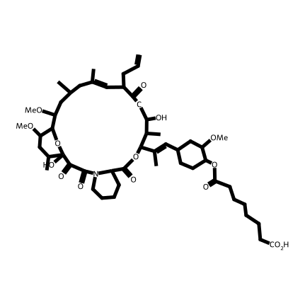 C=CCC1/C=C(\C)CC(C)CC(OC)C2OC(O)(C(=O)C(=O)N3CCCCC3C(=O)OC(C(C)=CC3CCC(OC(=O)CCCCCCC(=O)O)C(OC)C3)C(C)C(O)CC1=O)C(C)CC2OC